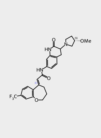 CO[C@H]1CCN(C2Cc3ccc(NC(=O)/C=C4\CCCOc5cc(C(F)(F)F)ccc54)cc3NC2=O)C1